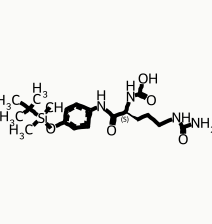 CC(C)(C)[Si](C)(C)Oc1ccc(NC(=O)[C@H](CCCNC(N)=O)NC(=O)O)cc1